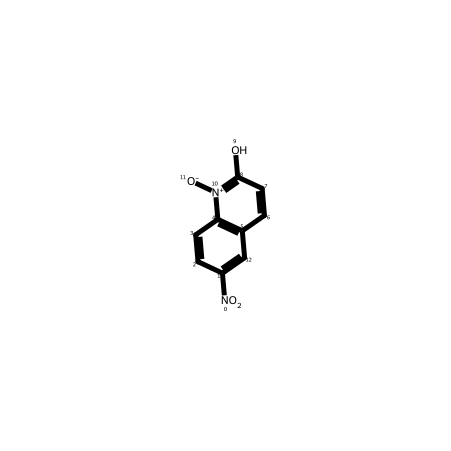 O=[N+]([O-])c1ccc2c(ccc(O)[n+]2[O-])c1